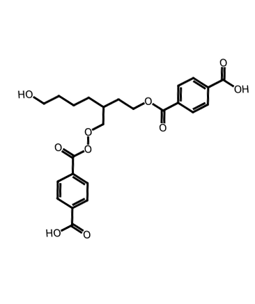 O=C(O)c1ccc(C(=O)OCCC(CCCCO)COOC(=O)c2ccc(C(=O)O)cc2)cc1